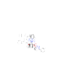 CC(C)c1cc(-c2ccccc2)cc(C(C)C)c1-n1c(-c2cccc3c2oc2nc(-c4ccccc4)ccc23)nc2ccccc21